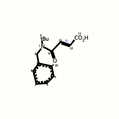 CC(C)(C)N(Cc1ccccc1)C(=O)/C=C/C(=O)O